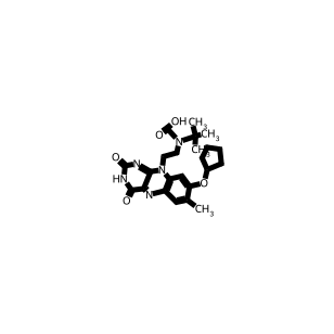 Cc1cc2nc3c(=O)[nH]c(=O)nc-3n(CCN(C(=O)O)C(C)(C)C)c2cc1OC1CCCC1